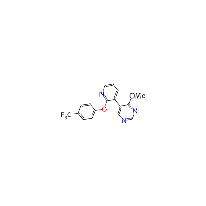 COc1ncncc1-c1cccnc1Oc1ccc(C(F)(F)F)cc1